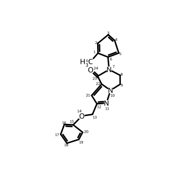 Cc1ccccc1N1CCn2nc(COc3ccccc3)cc2C1=O